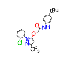 CC(C)(C)c1ccc(NC(=O)COc2cc(C(F)(F)F)nn2-c2ccccc2Cl)cc1